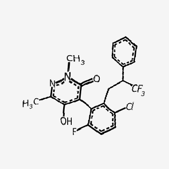 Cc1nn(C)c(=O)c(-c2c(F)ccc(Cl)c2CC(c2ccccc2)C(F)(F)F)c1O